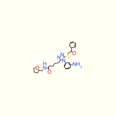 Nc1cccc(-n2c(CCCCC(=O)NCC3CCCO3)nnc2SCC(=O)C2C=CC=CC2)c1